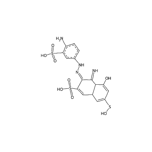 N=C1/C(=N\Nc2ccc(N)c(S(=O)(=O)O)c2)C(S(=O)(=O)O)=CC2C=C(SO)C=C(O)C12